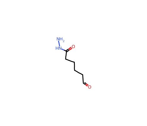 NNC(=O)CCCCC=O